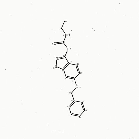 CCNC(=O)Oc1nsc2cc(OCc3ccccc3)ccc12